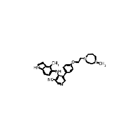 Cc1c(Nc2c(C#N)cncc2-c2ccc(OCCN3CCCN(C)CC3)cc2)ccc2[nH]ccc12